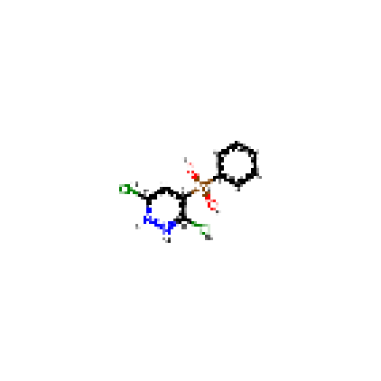 O=S(=O)(c1ccccc1)c1cc(Cl)nnc1Cl